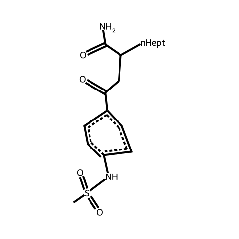 CCCCCCCC(CC(=O)c1ccc(NS(C)(=O)=O)cc1)C(N)=O